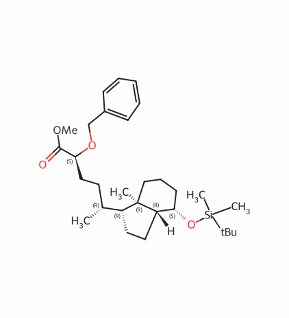 COC(=O)[C@H](CC[C@@H](C)[C@H]1CC[C@H]2[C@@H](O[Si](C)(C)C(C)(C)C)CCC[C@]12C)OCc1ccccc1